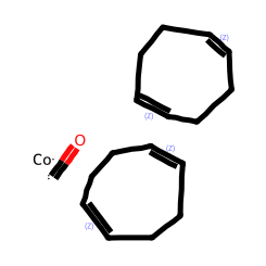 C1=C\CC/C=C\CC/1.C1=C\CC/C=C\CC/1.[C]=O.[Co]